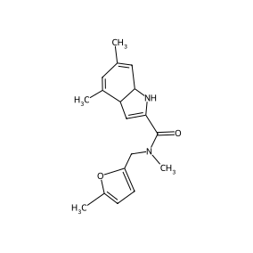 CC1=CC2NC(C(=O)N(C)Cc3ccc(C)o3)=CC2C(C)=C1